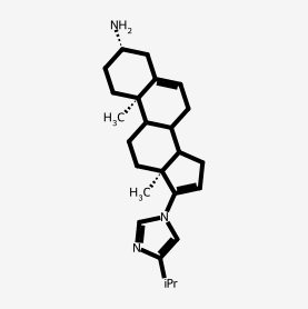 CC(C)c1cn(C2=CCC3C4CC=C5C[C@@H](N)CC[C@]5(C)C4CC[C@]23C)cn1